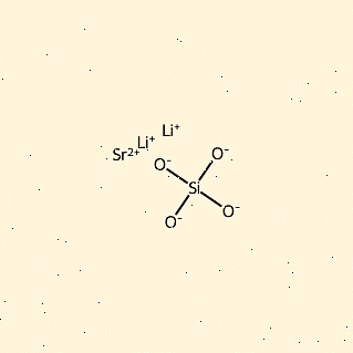 [Li+].[Li+].[O-][Si]([O-])([O-])[O-].[Sr+2]